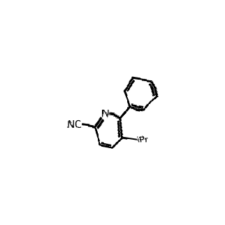 CC(C)c1ccc(C#N)nc1-c1ccccc1